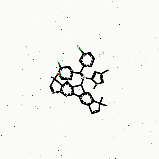 CC1=CC(C)[C]([Zr+2](=[C](c2cccc(F)c2)c2cccc(F)c2)[CH]2c3cc4c(cc3-c3cc5c(cc32)C(C)(C)C=C5)C=CC4(C)C)=C1.[Cl-].[Cl-]